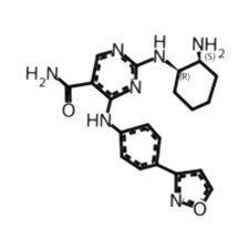 NC(=O)c1cnc(N[C@@H]2CCCC[C@@H]2N)nc1Nc1ccc(-c2ccon2)cc1